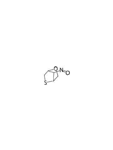 O=NC1C2CSC1CO2